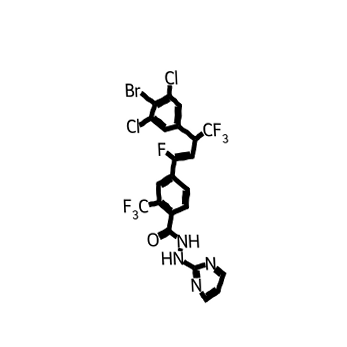 O=C(NNc1ncccn1)c1ccc(C(F)=CC(c2cc(Cl)c(Br)c(Cl)c2)C(F)(F)F)cc1C(F)(F)F